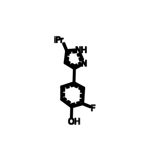 CC(C)c1cc(-c2ccc(O)c(F)c2)n[nH]1